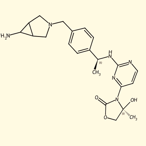 C[C@H](Nc1nccc(N2C(=O)OC[C@]2(C)O)n1)c1ccc(CN2CC3C(N)C3C2)cc1